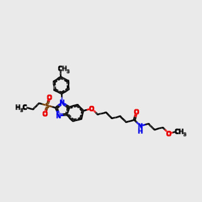 CCCS(=O)(=O)c1nc2ccc(OCCCCCC(=O)NCCCOC)cc2n1-c1ccc(C)cc1